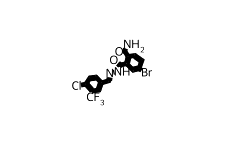 NC(=O)c1ccc(Br)cc1C(=O)NN=Cc1ccc(Cl)c(C(F)(F)F)c1